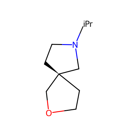 CC(C)N1CC[C@]2(CCOC2)C1